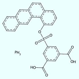 O=C(O)c1cc(C(=O)O)cc(S(=O)(=O)Oc2cccc3ccc4cc5ccccc5cc4c23)c1.P